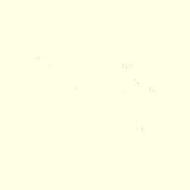 COCCC[S+]([O-])c1ccc(C(=N)C(=O)Nc2ncc(COC)s2)cc1